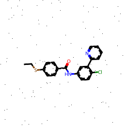 CCSc1ccc(C(=O)Nc2ccc(Cl)c(-c3ccccn3)c2)cc1